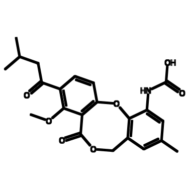 COc1c(C(=O)CC(C)C)ccc2c1C(=O)OCc1cc(C)cc(NC(=O)O)c1O2